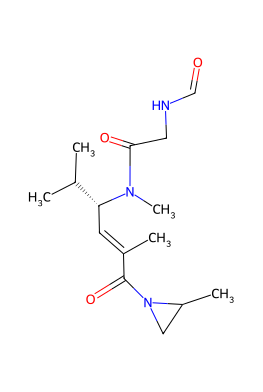 C/C(=C\[C@H](C(C)C)N(C)C(=O)CNC=O)C(=O)N1CC1C